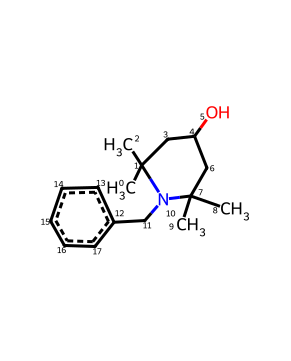 CC1(C)CC(O)CC(C)(C)N1Cc1ccccc1